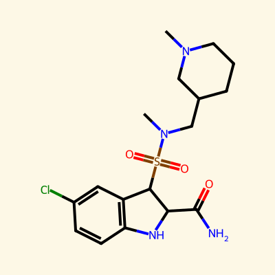 CN1CCCC(CN(C)S(=O)(=O)C2c3cc(Cl)ccc3NC2C(N)=O)C1